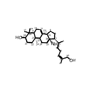 C/C(=C/CCC(C)[C@@H]1CC[C@]2(C)C3=CCC4C(C)(C)C(O)CC[C@]4(C)C3CC[C@@]12N)CO